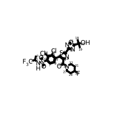 CC(NS(=O)(=O)c1ccc(-c2sc(-c3noc(C(C)(C)O)n3)nc2C(=O)N2CCC(F)CC2)c(Cl)c1Cl)C(F)(F)F